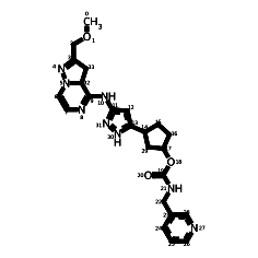 COCC1=NN2C=CN=C(Nc3cc(C4CCC(OC(=O)NCc5cccnc5)C4)[nH]n3)C2C1